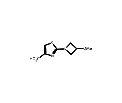 COC1CN(c2nc(C(=O)O)cs2)C1